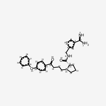 N=C(N)c1csc(CNC(=O)[C@@H]2CCCN2CCCC(=O)c2ccc(Oc3ccccc3)cc2)c1